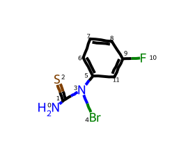 NC(=S)N(Br)c1cccc(F)c1